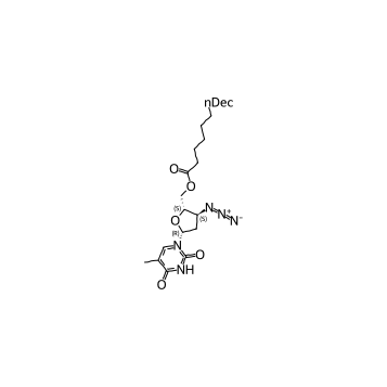 CCCCCCCCCCCCCCCC(=O)OC[C@H]1O[C@@H](n2cc(C)c(=O)[nH]c2=O)C[C@@H]1N=[N+]=[N-]